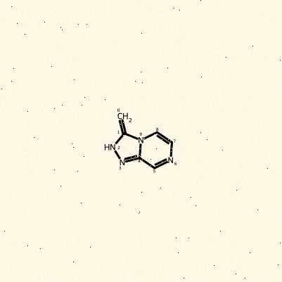 C=C1NN=C2C=NC=CN12